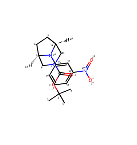 CC(C)(C)OC(=O)N1C[C@H]2CC[C@@H](C1)N2c1cccc([N+](=O)[O-])c1